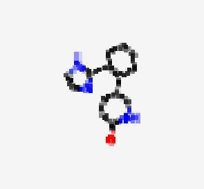 O=c1ccc(-c2ccccc2-c2ncc[nH]2)c[nH]1